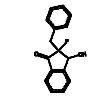 O=C1c2ccccc2C(O)C1(F)Cc1ccccc1